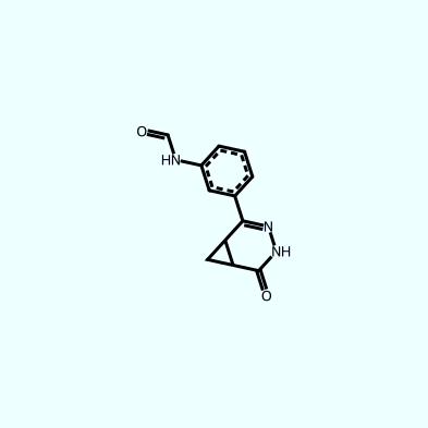 O=CNc1cccc(C2=NNC(=O)C3CC23)c1